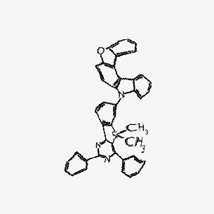 C[Si]1(C)c2cc(-n3c4ccccc4c4c5c(ccc43)oc3ccccc35)ccc2-c2nc(-c3ccccc3)nc(-c3ccccc3)c21